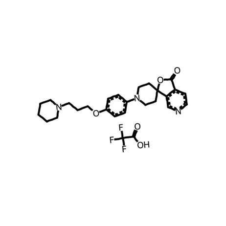 O=C(O)C(F)(F)F.O=C1OC2(CCN(c3ccc(OCCCN4CCCCC4)cc3)CC2)c2cnccc21